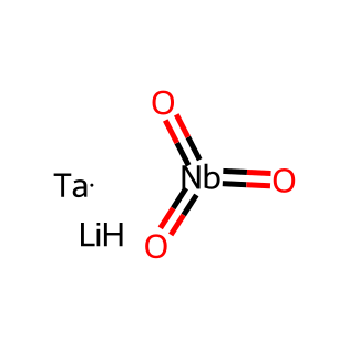 [LiH].[O]=[Nb](=[O])=[O].[Ta]